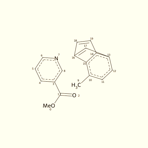 COC(=O)c1cccnc1.Cc1ccc2c3c1C(=C2)C=C3